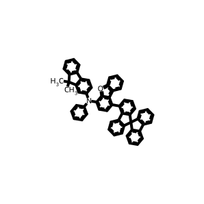 CC1(C)c2ccccc2-c2ccc(N(c3ccccc3)c3ccc(-c4cccc5c4-c4ccccc4C54c5ccccc5-c5ccccc54)c4c3oc3ccccc34)cc21